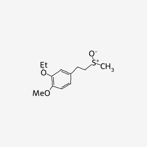 CCOc1cc(CC[S+](C)[O-])ccc1OC